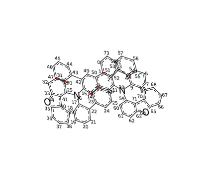 c1ccc(-c2ccccc2N(c2cc3cc(N(c4ccccc4-c4ccccc4)c4cccc5oc6ccccc6c45)c(-c4ccccc4)cc3cc2-c2ccccc2)c2cccc3oc4ccccc4c23)cc1